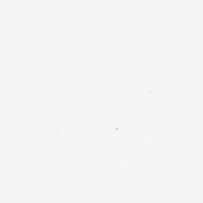 CCOC(=O)C1=C2CCOC(=O)N2C(c2nccs2)=NC1c1ccc(F)cc1Br